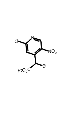 CCOC(=O)C(CC)c1cc(Cl)ncc1[N+](=O)[O-]